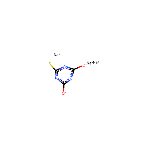 [Na+].[Na+].[Na+].[O-]c1nc([O-])nc([S-])n1